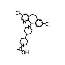 CB(O)N1CCC(C2CCN(C3c4ccc(Cl)cc4CCc4cc(Cl)cnc43)CC2)CC1